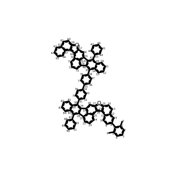 Cc1cccc(C)c1-c1ccc2c(ccc3oc4cc5c6c(cccc6c4c32)-c2c-5c(-c3ccc(-c4ccc(-c5c6c(c(-c7ccccc7)c7ccccc57)-c5cc7oc8ccc9ccccc9c8c7c7cccc-6c57)cc4)cc3)c3ccccc3c2-c2ccccc2)c1